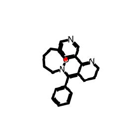 c1ccc(C(=C2CCCN=C2c2cccnc2)N2CCCCCO2)cc1